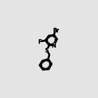 Fc1cc(Br)cnc1SCc1ccccc1